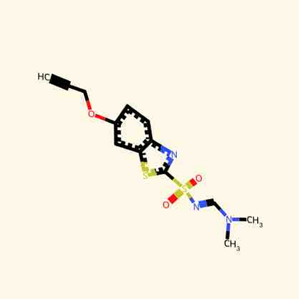 C#CCOc1ccc2nc(S(=O)(=O)/N=C/N(C)C)sc2c1